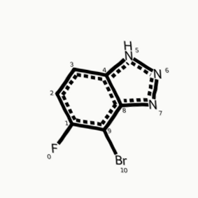 Fc1ccc2[nH]nnc2c1Br